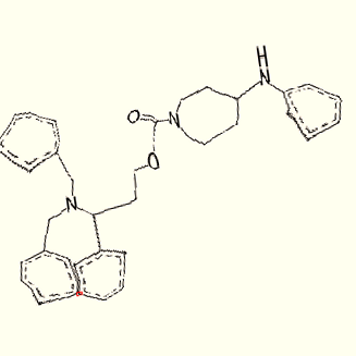 O=C(OCCC(c1ccccc1)N(Cc1ccccc1)Cc1ccccc1)N1CCC(Nc2ccccc2)CC1